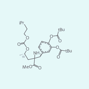 COC(=O)C(N)(Cc1ccc(OC(=O)C(C)(C)C)c(OC(=O)C(C)(C)C)c1)C[C@H](C)OC(=O)OCCC(C)C